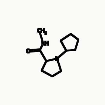 CNC(=O)C1CCCN1C1CCCC1